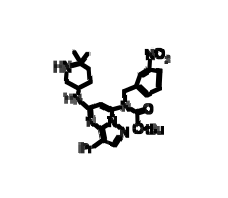 CC(C)c1cnn2c(N(Cc3cccc([N+](=O)[O-])c3)C(=O)OC(C)(C)C)cc(NC3CCC(C)(C)NC3)nc12